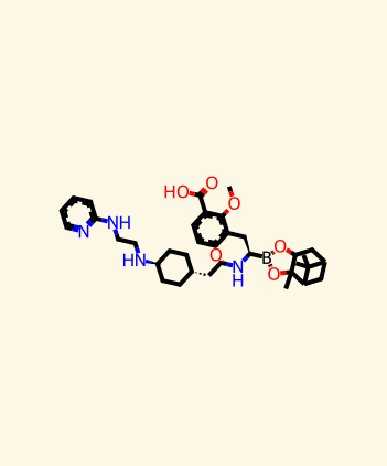 COc1c(C[C@H](NC(=O)C[C@H]2CC[C@H](NCCNc3ccccn3)CC2)B2OC3CC4CC(C4(C)C)C3(C)O2)cccc1C(=O)O